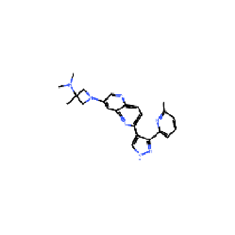 Cc1cccc(-c2n[nH]cc2-c2ccc3ncc(N4CC(C)(N(C)C)C4)cc3n2)n1